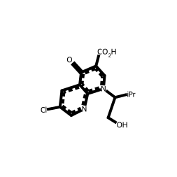 CC(C)C(CO)n1cc(C(=O)O)c(=O)c2cc(Cl)cnc21